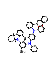 CC(C)(C)c1cc2c3c(c1)N1c4c(cccc4C4(C)CCCCC14C)B3c1cc(N(c3ccccc3)c3ccccc3-c3ccc4ccccc4c3)ccc1N2c1ccccc1